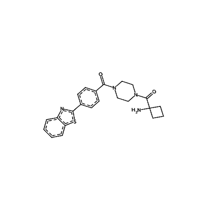 NC1(C(=O)N2CCN(C(=O)c3ccc(-c4nc5ccccc5s4)cc3)CC2)CCC1